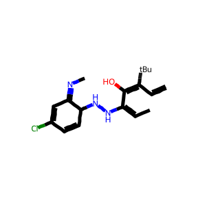 C=C/C(=C(O)\C(=C/C)NNC1C=CC(Cl)=C/C1=N/C)C(C)(C)C